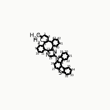 C=C/C=C\C1=C(/C)c2ccccc2-c2ncc(-n3c4ccccc4c4c5c(ccc43)sc3ccccc35)nc2-c2ccccc21